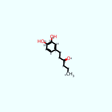 CCCC(=O)CCc1ccc(O)c(O)c1